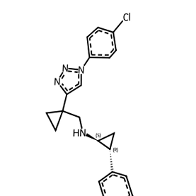 Clc1ccc(-n2cc(C3(CN[C@H]4C[C@@H]4c4ccccc4)CC3)nn2)cc1